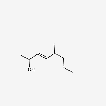 CCCC(C)C=CC(C)O